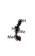 COc1cc2c(cc1OCCCCCOc1cc3c(cc1OC)C(=O)N1C=C(c4ccc(N5CCN(C(=O)CO)CC5)cc4)C[C@H]1CN3)N=C[C@@H]1CC3(CC3)CN1C2=O